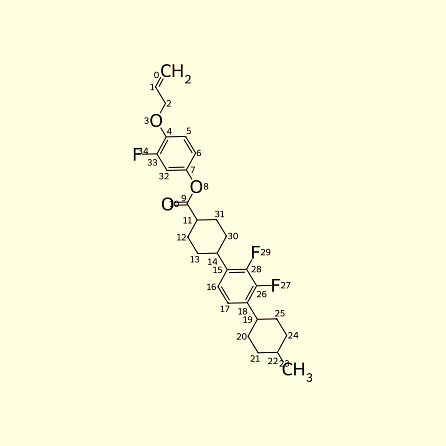 C=CCOc1ccc(OC(=O)C2CCC(c3ccc(C4CCC(C)CC4)c(F)c3F)CC2)cc1F